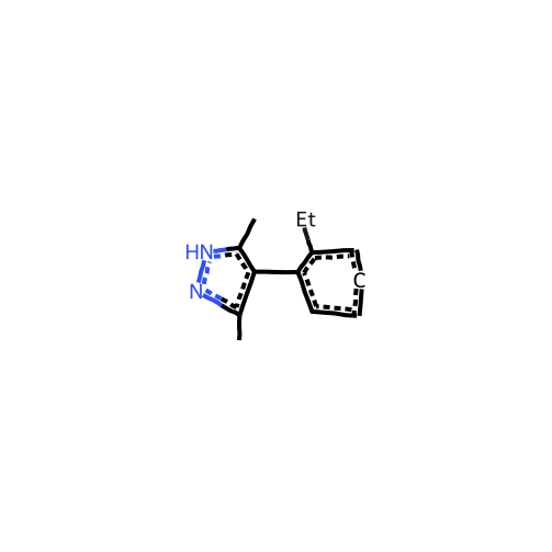 CCc1ccccc1-c1c(C)n[nH]c1C